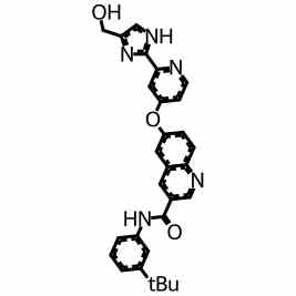 CC(C)(C)c1cccc(NC(=O)c2cnc3ccc(Oc4ccnc(-c5nc(CO)c[nH]5)c4)cc3c2)c1